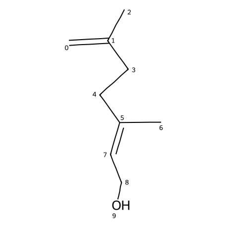 C=C(C)CC/C(C)=C/CO